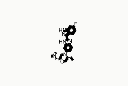 CC[C@@H]1CO[C@H](CN(C)C)CN1c1ccc2nc(-c3n[nH]c4cc(F)ccc34)[nH]c2c1